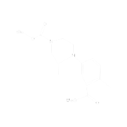 COC(=O)c1cc(N2CCN(C(=O)OC(C)(C)C)CC2C)ccc1C